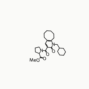 COC(=O)C1CCCN1C(=O)c1cc2c(n(CC3CCCCC3)c1=O)CCCCCC2